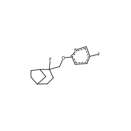 Fc1ccc(OCC2(F)CCC3CCC2C3)nc1